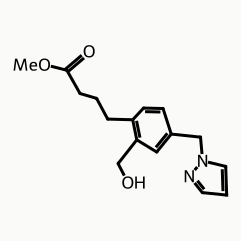 COC(=O)CCCc1ccc(Cn2cccn2)cc1CO